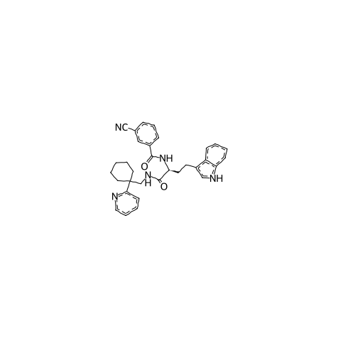 N#Cc1cccc(C(=O)N[C@@H](CCc2c[nH]c3ccccc23)C(=O)NCC2(c3ccccn3)CCCCC2)c1